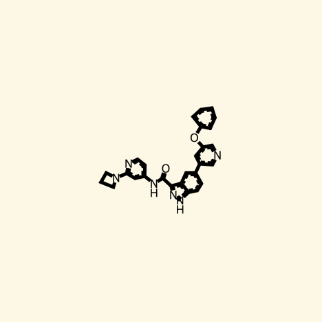 O=C(Nc1ccnc(N2CCC2)c1)c1n[nH]c2ccc(-c3cncc(Oc4ccccc4)c3)cc12